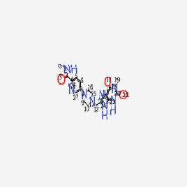 CNC(=O)c1ccc(N2CCN(Cc3nc4c(=O)n(C)c(=O)[nH]c4[nH]3)CC2)cn1